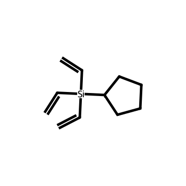 C=C[Si](C=C)(C=C)[C]1CCCC1